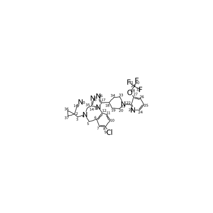 N#CC1(CN2Cc3cc(Cl)ccc3-n3c(nnc3C3CCN(c4ncccc4OC(F)(F)F)CC3)C2)CC1